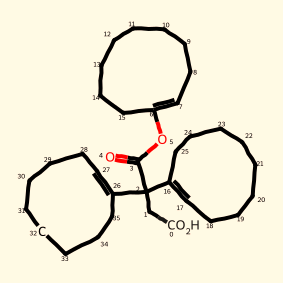 O=C(O)CC(C(=O)OC1=CCCCCCCCC1)(C1=CCCCCCCCC1)C1=CCCCCCCCC1